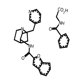 O=C(NC1C2CCN(CC2)C1Cc1cccnc1)c1cc2ccccc2o1.O=C(O)CNC(=O)c1ccccc1